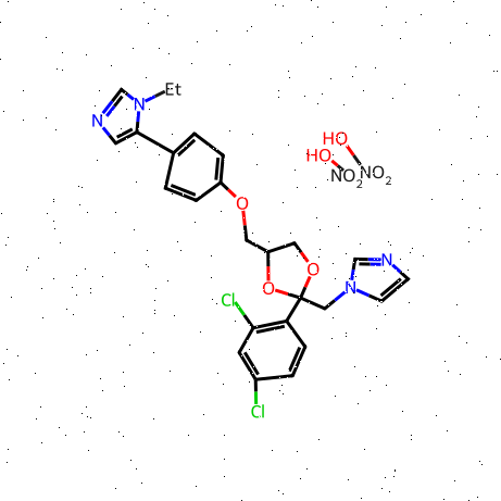 CCn1cncc1-c1ccc(OCC2COC(Cn3ccnc3)(c3ccc(Cl)cc3Cl)O2)cc1.O=[N+]([O-])O.O=[N+]([O-])O